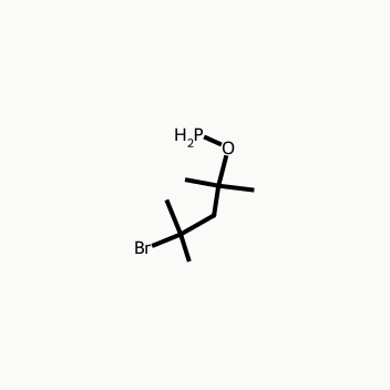 CC(C)(Br)CC(C)(C)OP